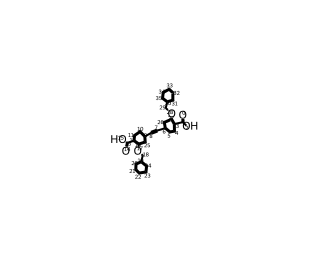 O=C(O)c1ccc(C#Cc2ccc(C(=O)O)c(OCc3ccccc3)c2)cc1OCc1ccccc1